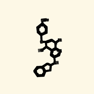 CCN1C=C(Oc2ccc(OC)cc2)C(O)c2cc(NC3Cc4ccccc4C3)cnc21